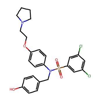 O=S(=O)(c1cc(Cl)cc(Cl)c1)N(Cc1ccc(O)cc1)c1ccc(OCCN2CCCC2)cc1